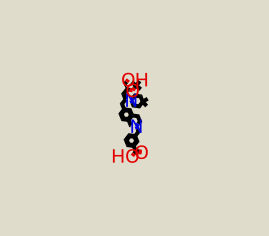 CC1(C)CCN(/C(=C\[C@@H](CO)OC(C)(C)C)Cc2ccc3c(c2)CCN(Cc2cccc(C(=O)O)c2)C3)CC1